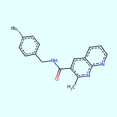 Cc1nc2ncccc2cc1C(=O)NCc1ccc(C(C)(C)C)cc1